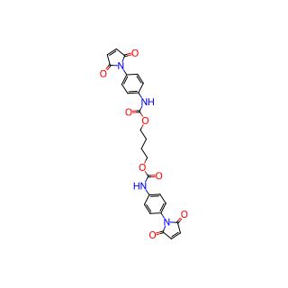 O=C(Nc1ccc(N2C(=O)C=CC2=O)cc1)OCCCCOC(=O)Nc1ccc(N2C(=O)C=CC2=O)cc1